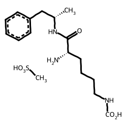 CS(=O)(=O)O.C[C@@H](Cc1ccccc1)NC(=O)[C@@H](N)CCCCNC(=O)O